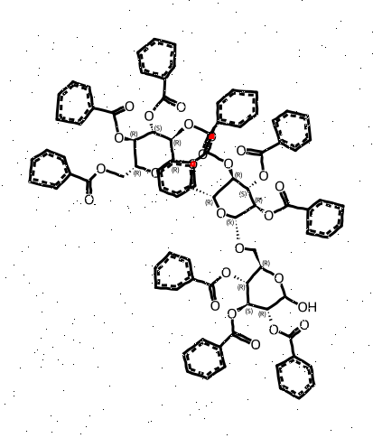 O=C(OC[C@H]1O[C@@H](OC[C@H]2O[C@@H](OC[C@H]3OC(O)[C@H](OC(=O)c4ccccc4)[C@@H](OC(=O)c4ccccc4)[C@@H]3OC(=O)c3ccccc3)[C@H](OC(=O)c3ccccc3)[C@@H](OC(=O)c3ccccc3)[C@@H]2OC(=O)c2ccccc2)[C@H](OC(=O)c2ccccc2)[C@@H](OC(=O)c2ccccc2)[C@@H]1OC(=O)c1ccccc1)c1ccccc1